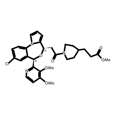 COC(=O)CCC1CCN(C(=O)C[C@@H]2O[C@@H](c3nccc(OC)c3OC)c3cc(Cl)ccc3-n3cccc32)CC1